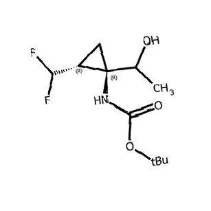 CC(O)[C@@]1(NC(=O)OC(C)(C)C)C[C@H]1C(F)F